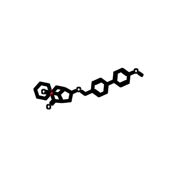 COc1ccc(-c2ccc(COC3CC4C(=O)C(=O)CC3C4N3CCCCC3)cc2)cc1